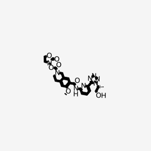 COc1cc2c(cc1C(=O)Nc1cccc(-c3nnnn3[C@H](C)CO)n1)CN(C(=O)ON1CCOC1=O)CC2